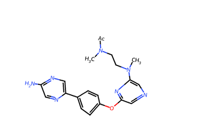 CC(=O)N(C)CCN(C)c1cncc(Oc2ccc(-c3cnc(N)cn3)cc2)n1